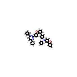 CC1=C(C2=CC=CCC2)N=C(c2ccc3c(c2)oc2cccc(-c4ccc(N(c5ccccc5)c5ccc6oc7ccccc7c6c5)cc4)c23)N=C(c2ccccc2)C1